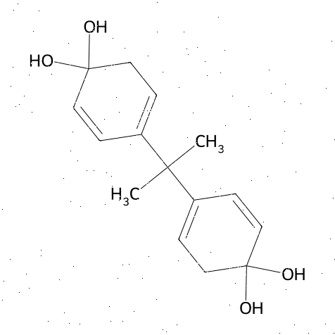 CC(C)(C1=CCC(O)(O)C=C1)C1=CCC(O)(O)C=C1